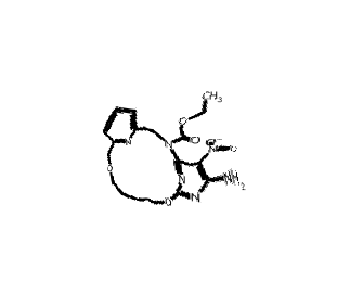 CCOC(=O)N1Cc2cccc(n2)COCCCCOc2nc(N)c([N+](=O)[O-])c1n2